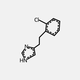 Clc1ccccc1CCc1c[nH]cn1